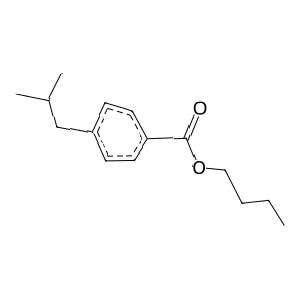 CCCCOC(=O)c1ccc(CC(C)C)cc1